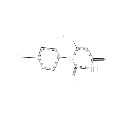 O=C(O)c1cc(=O)[nH]c(=O)n1-c1ccc(Cl)cc1